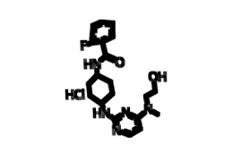 CN(CCO)c1ccnc(NC2CCC(NC(=O)c3ccccc3F)CC2)n1.Cl